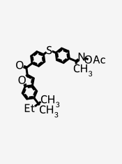 CCC(C)(C)c1ccc2oc(C(=O)c3ccc(Sc4ccc(C(C)=NOC(C)=O)cc4)cc3)cc2c1